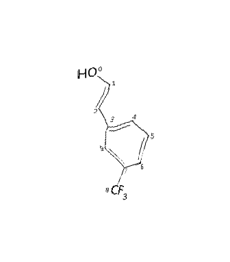 OC=Cc1cccc(C(F)(F)F)c1